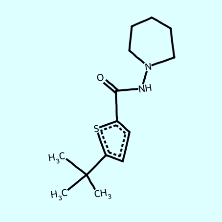 CC(C)(C)c1ccc(C(=O)NN2CCCCC2)s1